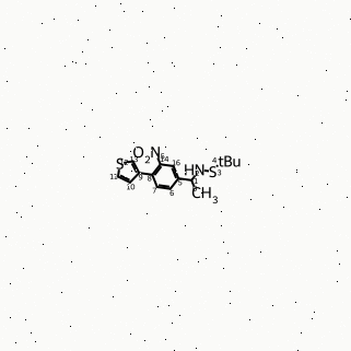 CC(NSC(C)(C)C)c1ccc(-c2ccsc2)c([N+](=O)[O-])c1